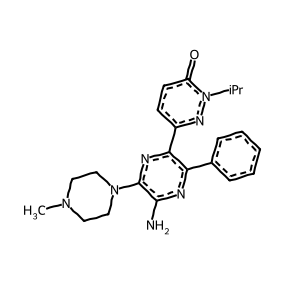 CC(C)n1nc(-c2nc(N3CCN(C)CC3)c(N)nc2-c2ccccc2)ccc1=O